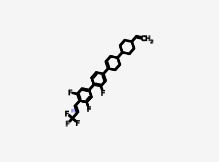 C=CC1CCC(C2CC=C(c3ccc(-c4cc(F)c(/C=C/C(F)(F)F)c(F)c4)c(F)c3)CC2)CC1